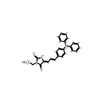 O=C(O)CN1C(=O)C(=CC=Cc2ccc(N(c3ccccc3)c3ccccc3)cc2)SC1=S